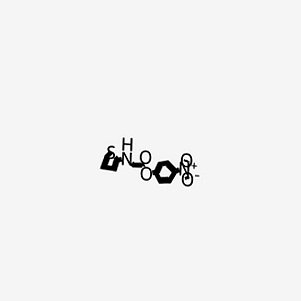 O=C(CNc1cccs1)Oc1ccc([N+](=O)[O-])cc1